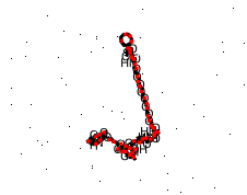 COc1cc2c(cc1OCCCCCOc1cc3c(cc1OC)C(=O)N1C=C(C)C[C@H]1[C@H](O)N3C(=O)OCc1ccc(NC(=O)[C@H](C)NC(=O)[C@@H](NC(=O)CCOCCOCCOCCOCCOCCOCCOCCOCCNC(=O)CCN3C(=O)CC(C4=C/C=C\C=C/C=C\C=C/C=C\4)C3=O)C(C)C)cc1)N=C[C@@H]1CC(C)=CN1C2=O